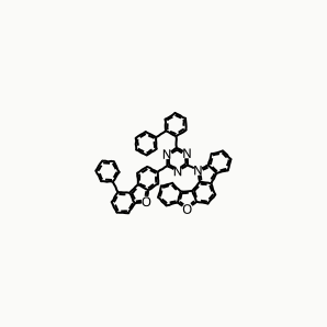 c1ccc(-c2ccccc2-c2nc(-c3ccc4c(c3)oc3cccc(-c5ccccc5)c34)nc(-n3c4ccccc4c4ccc5oc6ccccc6c5c43)n2)cc1